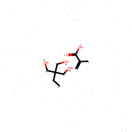 C=C(C)C(=O)O.CCC(CO)(CO)CO